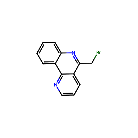 BrCc1nc2ccccc2c2ncccc12